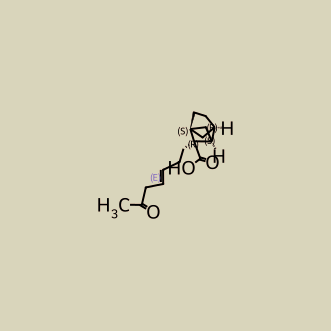 CC(=O)C/C=C/CC[C@@]1(C(=O)O)[C@H]2C[C@@]13CC[C@@H]2C3